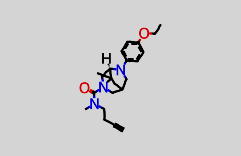 C#CCCN(C)C(=O)N1CC2CN(c3ccc(OCC)cc3)[C@H](C1)C(C)(C)C2